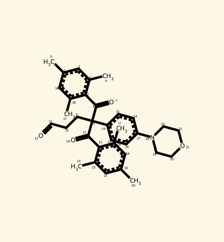 Cc1cc(C)c(C(=O)C(CCC=O)(C(=O)c2c(C)cc(C)cc2C)c2ccc(N3CCOCC3)cc2)c(C)c1